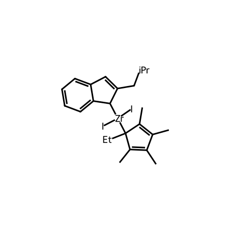 CC[C]1([Zr]([I])([I])[CH]2C(CC(C)C)=Cc3ccccc32)C(C)=C(C)C(C)=C1C